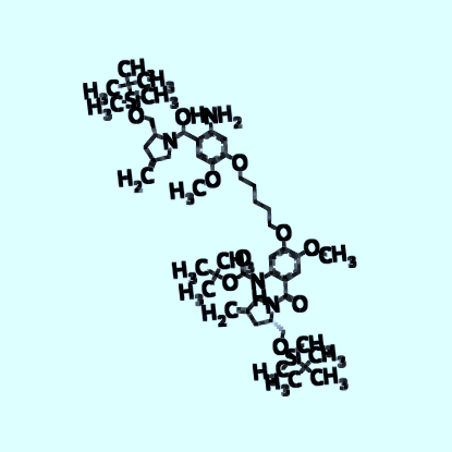 C=C1C[C@@H](CO[Si](C)(C)C(C)(C)C)N(C(=O)c2cc(OC)c(OCCCCCOc3cc(N)c(C(O)N4CC(=C)C[C@H]4CO[Si](C)(C)C(C)(C)C)cc3OC)cc2NC(=O)OC(C)(C)C)C1